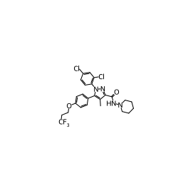 Cc1c(C(=O)NN2CCCCC2)nn(-c2ccc(Cl)cc2Cl)c1-c1ccc(OCCC(F)(F)F)cc1